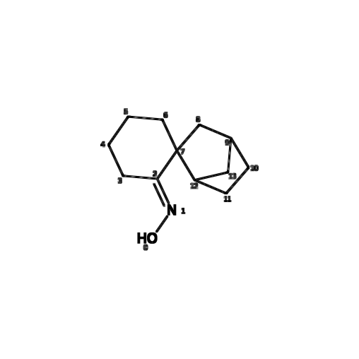 ON=C1CCCCC12CC1CCC2C1